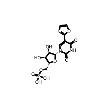 O=c1[nH]c(=O)n([C@@H]2O[C@H](COP(=O)(O)O)[C@@H](O)[C@H]2O)cc1-c1ncco1